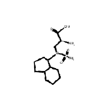 N[C@@H](CN(C1CCCC2CCCCC21)S(N)(=O)=O)C(=O)O